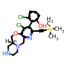 CS(C)(C)C#Cc1nc2c(c(Cl)c1-c1c(O)cccc1Cl)OC[C@H]1CNCCN1C2